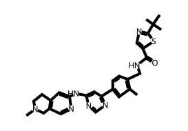 Cc1cc(-c2cc(Nc3cc4c(cn3)CN(C)CC4)ncn2)ccc1CNC(=O)c1cnc(C(C)(C)C)s1